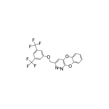 FC(F)(F)c1cc(OCc2cc3c(nn2)Oc2ccccc2O3)cc(C(F)(F)F)c1